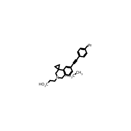 CC(=O)O.CC(C)c1ccc(C#Cc2ccc3c(c2)C2(CC2)CN(CCC(=O)O)C3)cc1